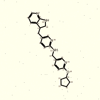 c1cnc2c(c1)C(Cc1ccc(NCc3ccc(OC4CCCC4)nc3)nc1)CN2